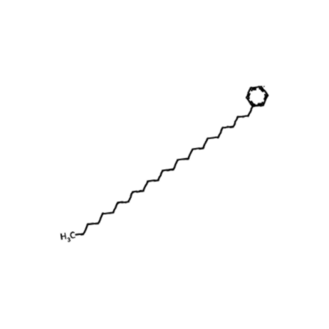 CCCCCCCCCCCCCCCCCCCCCCCCc1cc[c]cc1